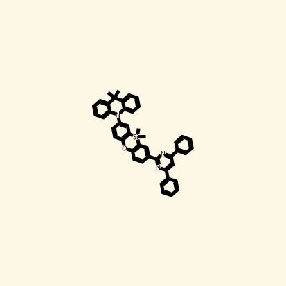 CC1(C)c2ccccc2N(c2ccc3c(c2)[Si](C)(C)c2cc(-c4nc(-c5ccccc5)cc(-c5ccccc5)n4)ccc2O3)c2ccccc21